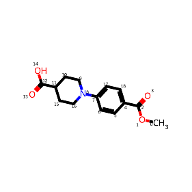 COC(=O)c1ccc(N2CCC(C(=O)O)CC2)cc1